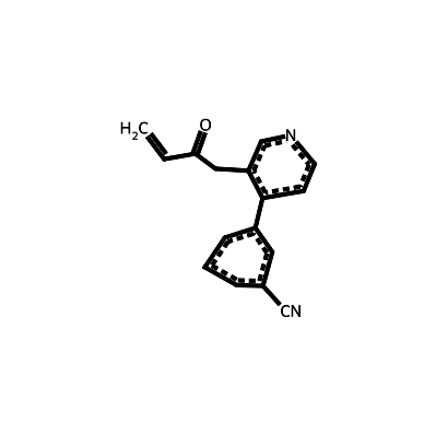 C=CC(=O)Cc1cnccc1-c1cccc(C#N)c1